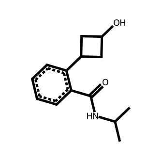 CC(C)NC(=O)c1ccccc1C1CC(O)C1